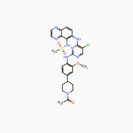 COc1cc(C2CCN(C(C)=O)CC2)ccc1Nc1ncc(Cl)c(Nc2ccc3nccnc3c2NS(C)(=O)=O)n1